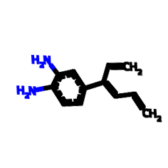 C=C/C=C(\C=C)c1ccc(N)c(N)c1